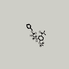 CN(C)C(=O)[C@H]1CC[C@@H](OS(C)(=O)=O)[C@H](NS(=O)(=O)NC(=O)OCc2ccccc2)C1